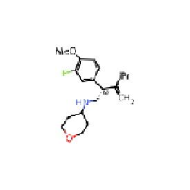 C=C(C(C)C)[C@H](CNC1CCOCC1)c1ccc(OC)c(F)c1